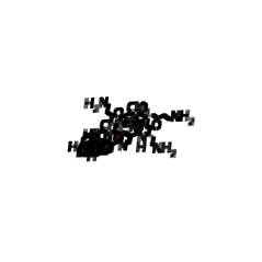 CCCCc1ccc(-c2ncc(C(=O)N[C@@H](CCN)C(=O)N[C@@H](CCCCN)C(=O)N[C@@H](C)C(=O)N[C@@H](CCCCN)C(=O)N[C@@H](C)BO[C@@H]3C[C@@H]4C[C@@H](C4(C)C)[C@]3(C)O)cn2)cc1